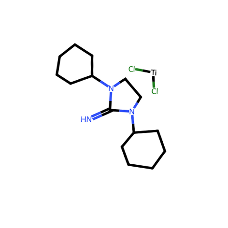 N=C1N(C2CCCCC2)CCN1C1CCCCC1.[Cl][Ti][Cl]